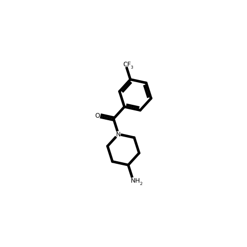 NC1CCN(C(=O)c2cccc(C(F)(F)F)c2)CC1